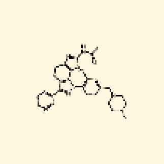 CC(=O)Nc1nc2c(s1)-c1c(c(-c3cccnc3)nn1-c1ccc(CN3CCN(C)CC3)cc1Cl)CC2